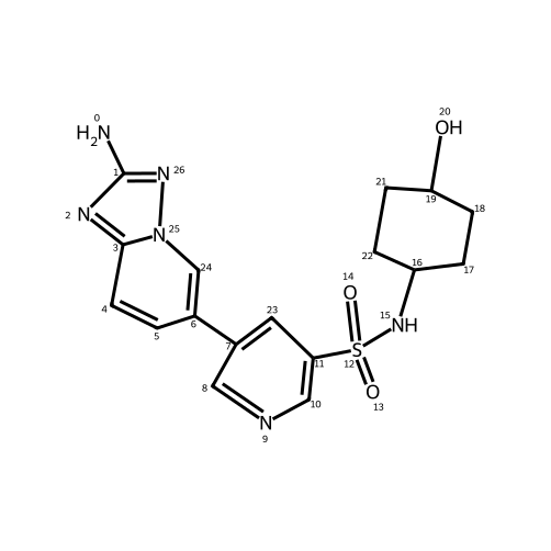 Nc1nc2ccc(-c3cncc(S(=O)(=O)NC4CCC(O)CC4)c3)cn2n1